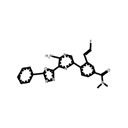 CN(C)C(=O)c1ccc(-c2cnc(N)c(-c3nnc(-c4ccccc4)o3)n2)c(C=CF)c1